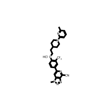 Cc1cccc(N2CCC(CCOc3ccc(-c4cc5c(nnn5C)c(C#N)n4)cc3C(F)(F)F)CC2)n1.Cl